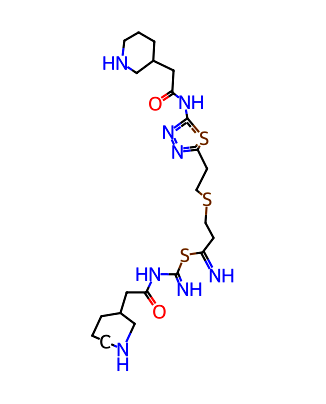 N=C(CCSCCc1nnc(NC(=O)CC2CCCNC2)s1)SC(=N)NC(=O)CC1CCCNC1